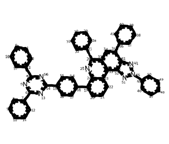 c1ccc(-c2nc(-c3ccccc3)nc(-c3ccc(-c4cccc5c4nc(-c4ccccc4)c4cc(-c6ccccc6)c6nn(-c7ccccc7)nc6c45)cc3)n2)cc1